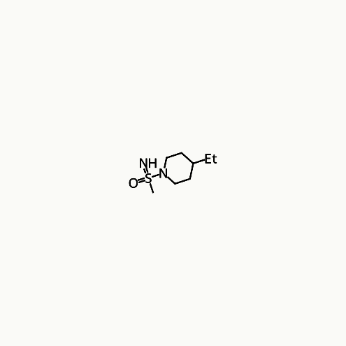 CCC1CCN(S(C)(=N)=O)CC1